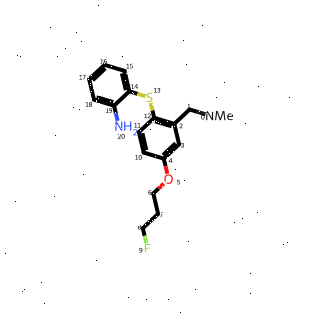 CNCc1cc(OCCCF)ccc1Sc1ccccc1N